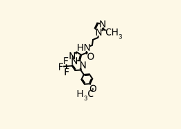 COc1ccc(-c2cc(C(F)(F)F)n3ncc(C(=O)NCCCn4ccnc4C)c3n2)cc1